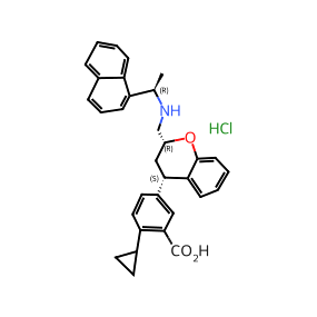 C[C@@H](NC[C@H]1C[C@@H](c2ccc(C3CC3)c(C(=O)O)c2)c2ccccc2O1)c1cccc2ccccc12.Cl